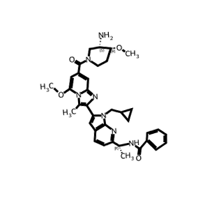 COc1cc(C(=O)N2CC[C@@H](OC)[C@@H](N)C2)cc2nc(-c3cc4ccc([C@@H](C)NC(=O)c5ccccc5)nc4n3CC3CC3)c(C)n12